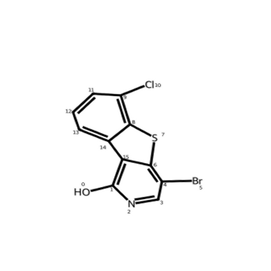 Oc1ncc(Br)c2sc3c(Cl)cccc3c12